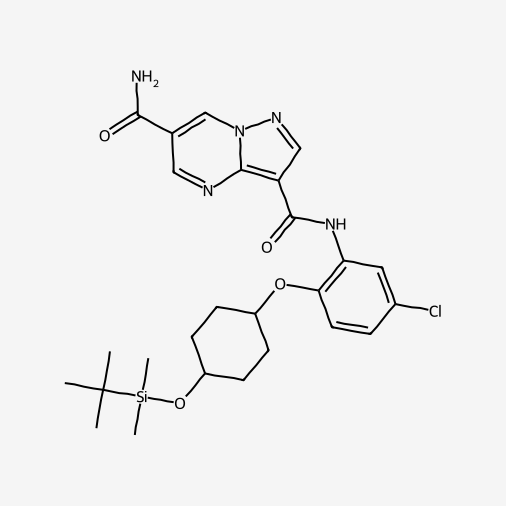 CC(C)(C)[Si](C)(C)OC1CCC(Oc2ccc(Cl)cc2NC(=O)c2cnn3cc(C(N)=O)cnc23)CC1